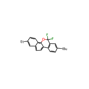 CCc1ccc2c3c(ccc2c1)-c1ccc(C(C)(C)C)cc1C(F)(F)O3